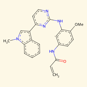 C=CC(=O)Nc1[c]c(Nc2nccc(-c3cn(C)c4ccccc34)n2)c(OC)cc1